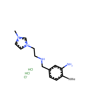 CNc1ccc(CNCC[n+]2ccn(C)c2)cc1N.Cl.Cl.[Cl-]